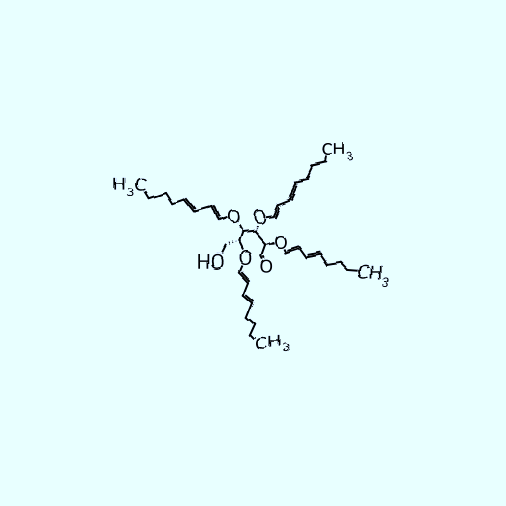 CCCCC=CC=CO[C@@H]([C@H](OC=CC=CCCCC)[C@@H](CO)OC=CC=CCCCC)[C@H](C=O)OC=CC=CCCCC